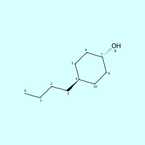 CCCC[C@H]1CC[C@H](O)CC1